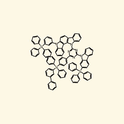 c1ccc(-c2cccc([Si](c3ccccc3)(c3ccccc3)c3ccc(-c4nc(-n5c6ccccc6c6ccc([Si](c7ccccc7)(c7ccccc7)c7ccccc7)cc65)nc(-n5c6ccccc6c6ccc7c(c8ccccc8n7-c7cccc([Si](c8ccccc8)(c8ccccc8)c8ccccc8)c7)c65)n4)cc3)c2)cc1